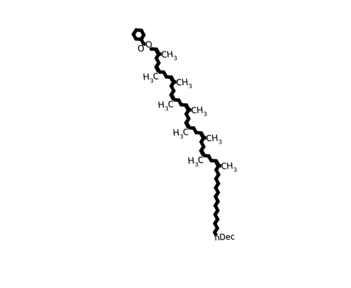 CCCCCCCCCCCCCCCCCCCCCCCCCC(C)=CCCC(C)=CCCC(C)=CCCC(C)=CCCC(C)=CCCC(C)=CCCC(C)=CCCC(C)=CCCC(C)=CCOC(=O)C1CCCCC1